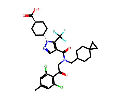 Cc1cc(Cl)c(C(=O)CN(CC2CCC3(CC2)CC3)C(=O)c2cnn([C@H]3CC[C@H](C(=O)O)CC3)c2C(F)(F)F)c(Cl)c1